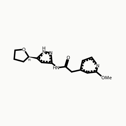 COc1cc(CC(=O)Nc2cc([C@H]3CCCO3)[nH]n2)ccn1